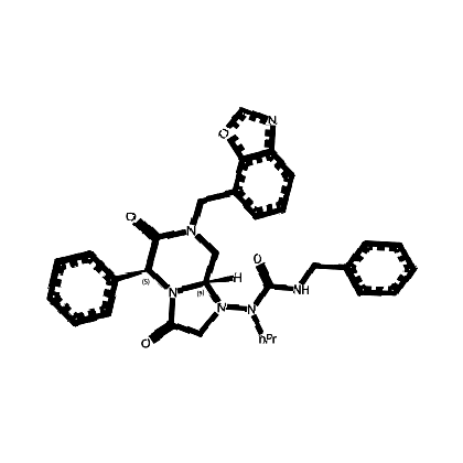 CCCN(C(=O)NCc1ccccc1)N1CC(=O)N2[C@@H](c3ccccc3)C(=O)N(Cc3cccc4ncoc34)C[C@@H]21